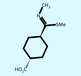 CN=C(SC)[C@H]1CC[C@H](C(=O)O)CC1